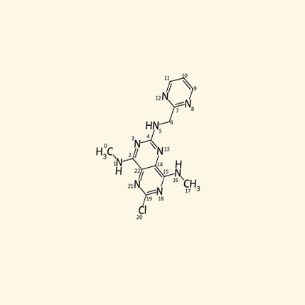 CNc1nc(NCc2ncccn2)nc2c(NC)nc(Cl)nc12